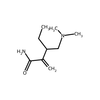 C=C(C(N)=O)C(CC)CN(C)C